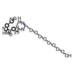 COc1ccc(-c2ccc3ncc4[nH]c(=O)n(-c5ccc(N6CC\N=C/C(CCCOCCOCCOCCOCCOCCOCCOCCOCCO)=C\N=C\NCC6)c(C(F)(F)F)c5)c4c3c2)cn1